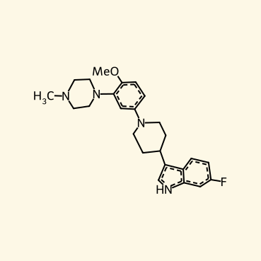 COc1ccc(N2CCC(c3c[nH]c4cc(F)ccc34)CC2)cc1N1CCN(C)CC1